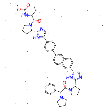 COC(=O)N[C@H](C(=O)N1CCC[C@H]1c1ncc(-c2ccc(-c3ccc4cc(-c5cnc([C@@H]6CCCN6C(=O)C(c6ccccc6)N6CCCC6)[nH]5)ccc4c3)cc2)[nH]1)C(C)C